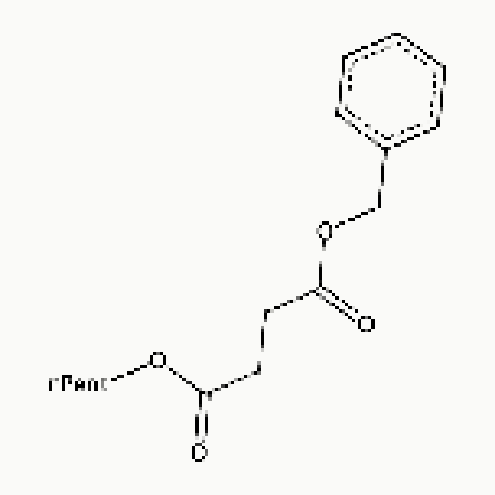 CCCCCOC(=O)CCC(=O)OCc1ccccc1